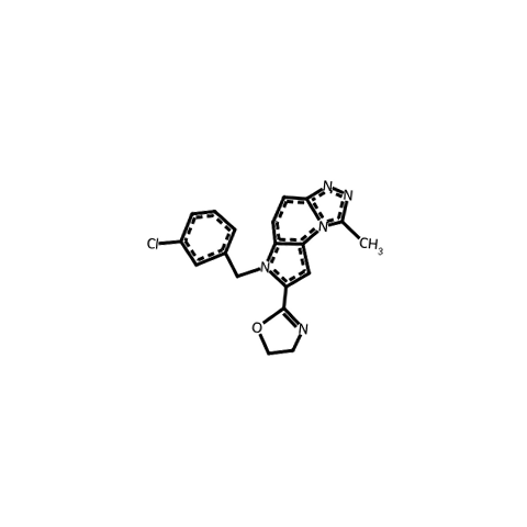 Cc1nnc2ccc3c(cc(C4=NCCO4)n3Cc3cccc(Cl)c3)n12